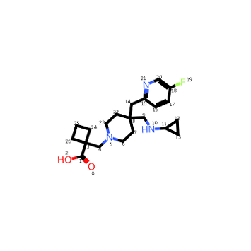 O=C(O)C1(CN2CCC(CNC3CC3)(Cc3ccc(F)cn3)CC2)CCC1